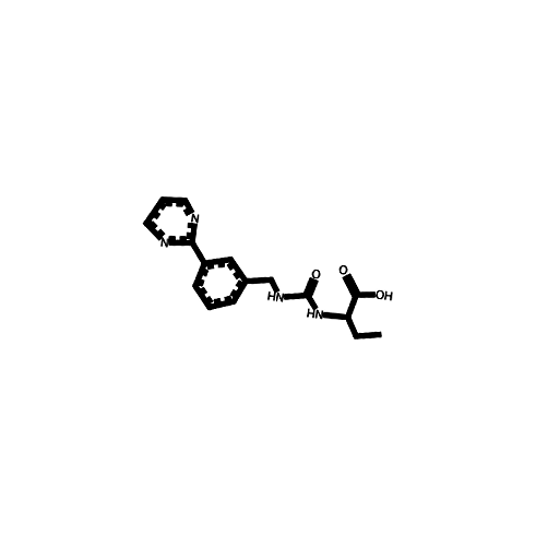 CCC(NC(=O)NCc1cccc(-c2ncccn2)c1)C(=O)O